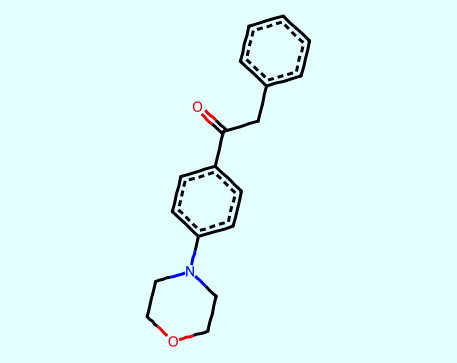 O=C(Cc1ccccc1)c1ccc(N2CCOCC2)cc1